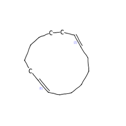 C1=C\CCCCCC/C=C/CCCCC/1